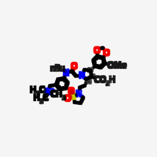 CCCCN(C(=O)CN1C[C@H](c2cc(OC)c3c(c2)OCO3)[C@@H](C(=O)O)[C@@H]1CCN1CCCS1(=O)=O)c1cccc(C[N+](C)(C)C)c1